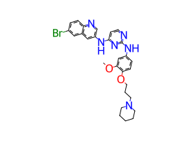 COc1cc(Nc2nccc(Nc3cnc4ccc(Br)cc4c3)n2)ccc1OCCCN1CCCCC1